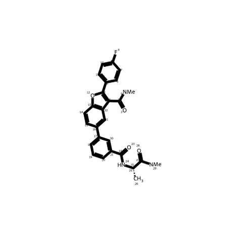 CNC(=O)c1c(-c2ccc(F)cc2)oc2ccc(-c3cccc(C(=O)N[C@@H](C)C(=O)NC)c3)cc12